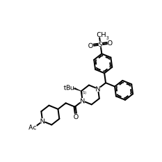 CC(=O)N1CCC(CC(=O)N2CCN(C(c3ccccc3)c3ccc(S(C)(=O)=O)cc3)C[C@@H]2C(C)(C)C)CC1